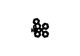 O=C(O)C(Cc1ccccc1)=P(c1ccccc1)(c1ccccc1)c1ccccc1